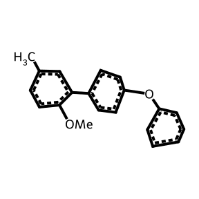 COc1ccc(C)cc1-c1ccc(Oc2ccccc2)cc1